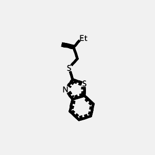 C=C(CC)CSc1nc2ccccc2s1